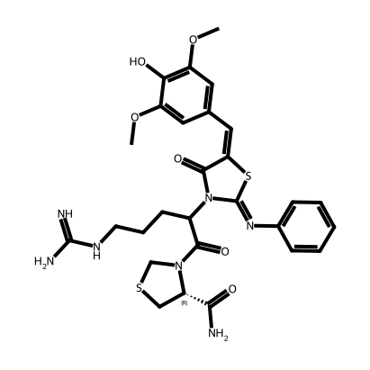 COc1cc(C=C2SC(=Nc3ccccc3)N(C(CCCNC(=N)N)C(=O)N3CSC[C@H]3C(N)=O)C2=O)cc(OC)c1O